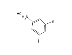 Cl.Nc1cc(Br)cc(I)c1